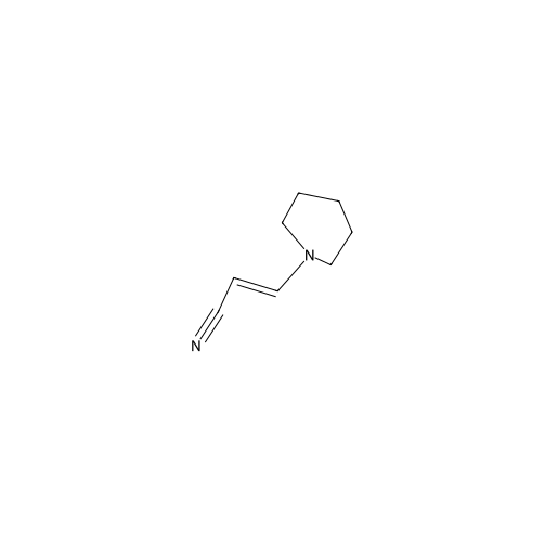 N#CC=CN1CCCCC1